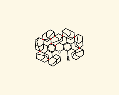 [C]#Cc1c(Oc2cc(C34CC5CC(CC(C5)C3)C4)c(C34CC5CC(CC(C5)C3)C4)c(C34CC5CC(CC(C5)C3)C4)c2C23CC4CC(CC(C4)C2)C3)c(C23CC4CC(CC(C4)C2)C3)c(C23CC4CC(CC(C4)C2)C3)c(C23CC4CC(CC(C4)C2)C3)c1C12CC3CC(CC(C3)C1)C2